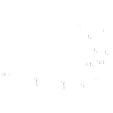 O=C(NNc1ncc(F)c(N2CCOCC2)n1)c1ccc(Nc2cccc(Nc3cccc(O)c3)c2)cn1